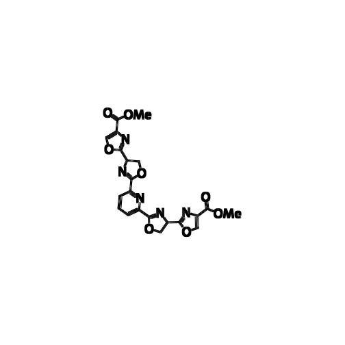 COC(=O)c1coc(C2COC(c3cccc(C4=NC(c5nc(C(=O)OC)co5)CO4)n3)=N2)n1